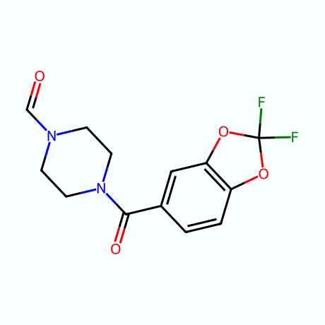 O=CN1CCN(C(=O)c2ccc3c(c2)OC(F)(F)O3)CC1